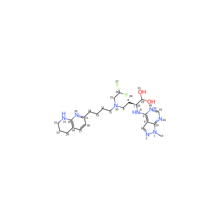 Cn1ncc2c(N[C@@H](CCN(CCCCc3ccc4c(n3)NCCC4)CC(F)F)C(O)O)ncnc21